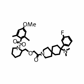 COc1cc(C)c(S(=O)(=O)N2CCCCC2COCC(=O)N2CCC3(CC2)CCC(c2cccc(F)c2)(N(C)C)CC3)c(C)c1